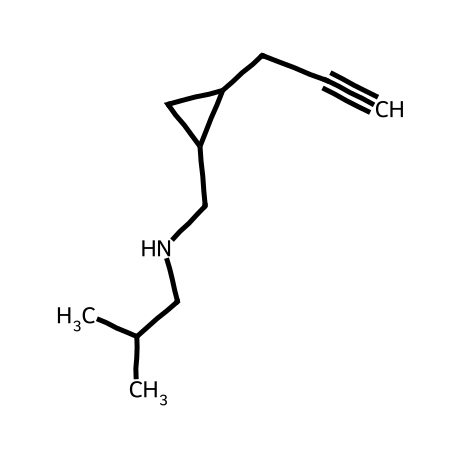 C#CCC1CC1CNCC(C)C